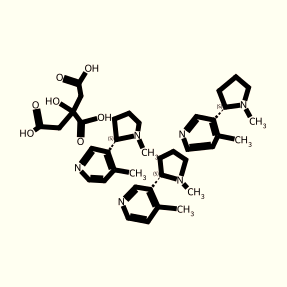 Cc1ccncc1[C@@H]1CCCN1C.Cc1ccncc1[C@@H]1CCCN1C.Cc1ccncc1[C@@H]1CCCN1C.O=C(O)CC(O)(CC(=O)O)C(=O)O